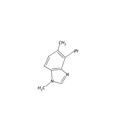 Cc1ccc2c(ncn2C)c1C(C)C